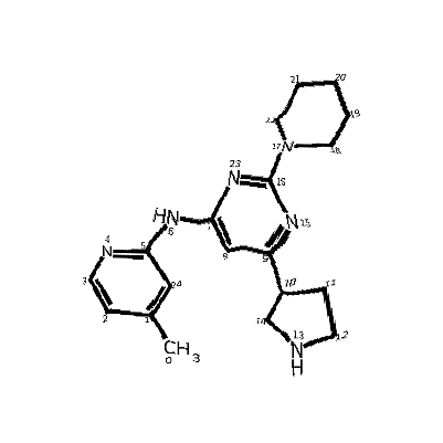 Cc1ccnc(Nc2cc(C3CCNC3)nc(N3CCCCC3)n2)c1